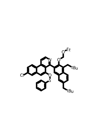 CCOCOc1c(-c2nccc3c2c(OSc2ccccc2)cc2cc(Cl)ccc23)cc2cc(CC(C)(C)C)ccc2c1CC(C)(C)C